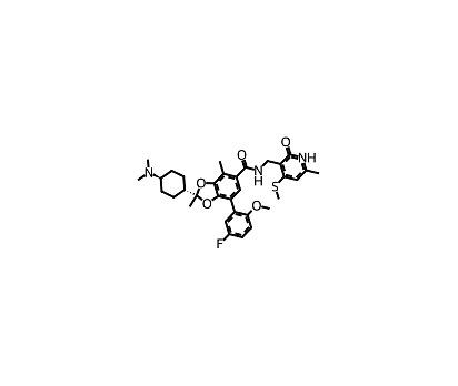 COc1ccc(F)cc1-c1cc(C(=O)NCc2c(SC)cc(C)[nH]c2=O)c(C)c2c1OC(C)([C@H]1CC[C@H](N(C)C)CC1)O2